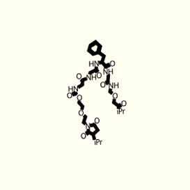 CC(C)C(=O)COCNC(=O)CNC(=O)C(Cc1ccccc1)NC(=O)CNC(=O)CNC(=O)OCCOCCN1C(=O)CC(C(C)C)C1=O